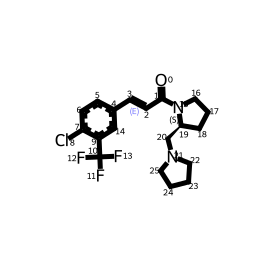 O=C(/C=C/c1ccc(Cl)c(C(F)(F)F)c1)N1CCC[C@H]1CN1CCCC1